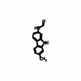 Cc1ccc2c(c1)[nH]c1cc(NC=O)ccc12